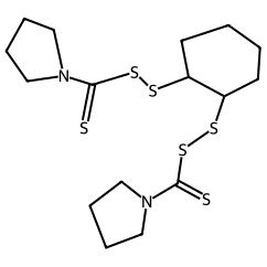 S=C(SSC1CCCCC1SSC(=S)N1CCCC1)N1CCCC1